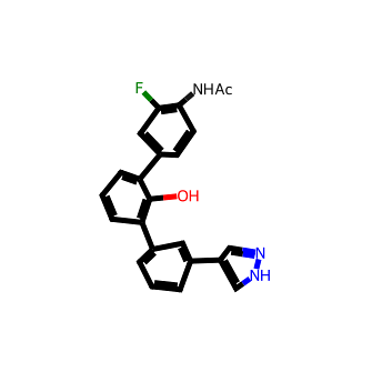 CC(=O)Nc1ccc(-c2cccc(-c3cccc(-c4cn[nH]c4)c3)c2O)cc1F